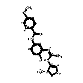 COc1ccc(C(=O)Nc2ccc(F)c(/N=C(/N)OC3=COC[C@@H]3C)c2)nc1